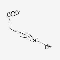 CCC[N+]#CCC(=O)[O-]